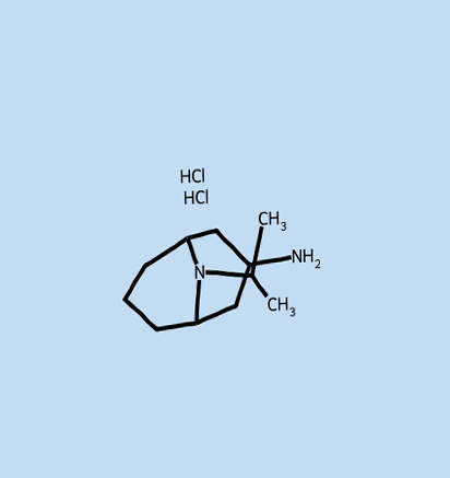 CC(C)N1C2CCCC1CC(N)C2.Cl.Cl